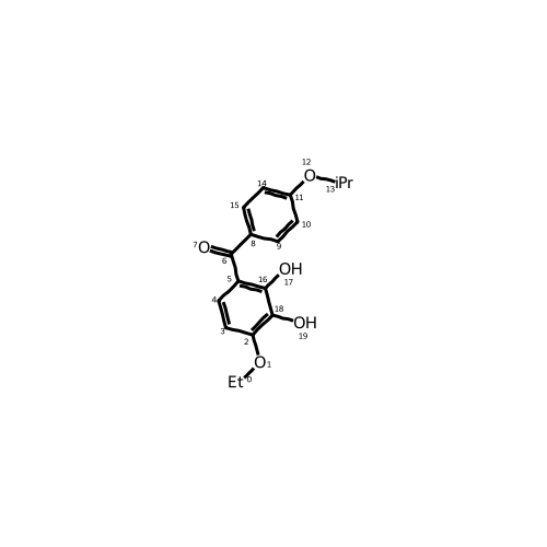 CCOc1ccc(C(=O)c2ccc(OC(C)C)cc2)c(O)c1O